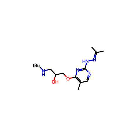 CC(C)=NNc1ncc(C)c(OCC(O)CNC(C)(C)C)n1